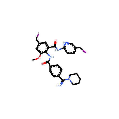 COc1cc(CI)cc(C(=O)Nc2ccc(CI)cn2)c1NC(=O)c1ccc(C(=N)N2CCCCC2)cc1